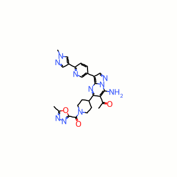 CC(=O)c1c(C2CCN(C(=O)c3nnc(C)o3)CC2)nc2c(-c3ccc(-c4cnn(C)c4)nc3)cnn2c1N